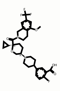 COc1cc(C(F)(F)F)cc2c1CCN(C(=O)[C@@]1(C3CC3)CC[C@@H](N3CCC(c4ccc(F)c(C(=O)O)c4)CC3)CO1)C2